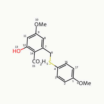 COc1ccc(SCc2cc(OC)cc(O)c2C(=O)O)cc1